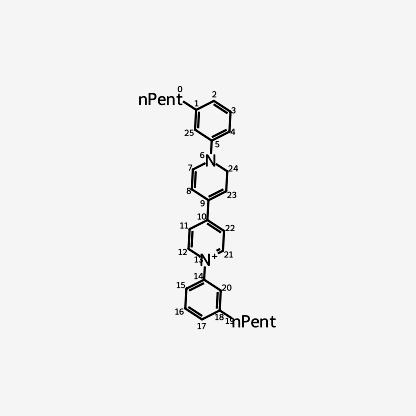 CCCCCc1cccc(N2C=CC(c3cc[n+](-c4cccc(CCCCC)c4)cc3)=CC2)c1